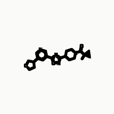 CC1(C(=O)N2CCC(c3noc(-c4cncc(C5CCOC5)c4)n3)CC2)CC1